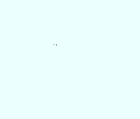 O=C(C=Cc1ccccc1)c1cc(Br)ccc1O